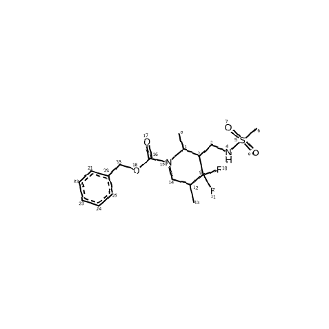 CC1C(CNS(C)(=O)=O)C(F)(F)C(C)CN1C(=O)OCc1ccccc1